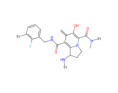 C=C1C(O)=C(C(=O)N(C)CC)N2CCC(NCC)C2=C1C(=O)NCc1cccc(CC)c1F